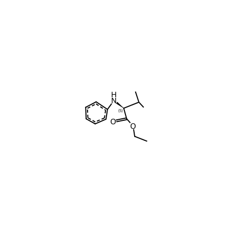 CCOC(=O)[C@@H](Nc1ccccc1)C(C)C